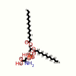 CCCCCCCCCCCCCCC(=O)OC[C@H](COP(=O)(O)OC[C@H](N)C(=O)O)OC(=O)CCCCCCCCCCC